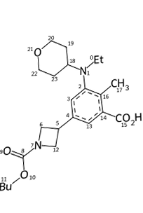 CCN(c1cc(C2CN(C(=O)OC(C)(C)C)C2)cc(C(=O)O)c1C)C1CCOCC1